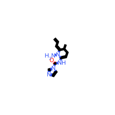 C=C/C=C1\C(C)CC=C(NC(=O)n2ccnc2)N1N